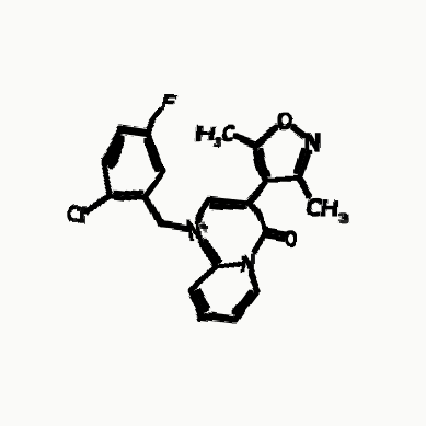 Cc1noc(C)c1-c1c[n+](Cc2cc(F)ccc2Cl)c2ccccn2c1=O